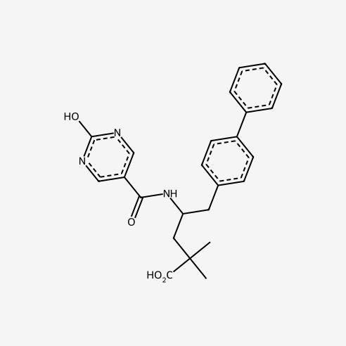 CC(C)(CC(Cc1ccc(-c2ccccc2)cc1)NC(=O)c1cnc(O)nc1)C(=O)O